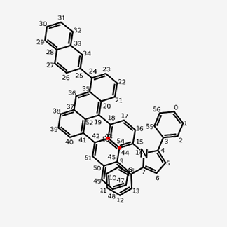 c1ccc(-c2ccc(-c3ccccc3)n2-c2ccc(-c3c4cccc(-c5ccc6ccccc6c5)c4cc4cccc(-c5ccc6ccccc6c5)c34)cc2)cc1